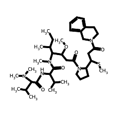 CCC(C)C(C(CC(=O)N1CCCC1C(CC(=O)N1CCc2ccccc2C1)SC)OC)N(C)C(=O)C(NC(=O)C(C(C)C)N(C)C)C(C)C